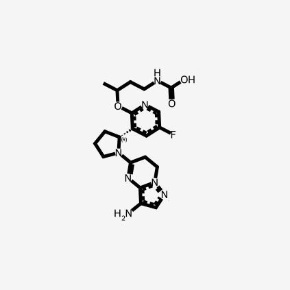 CC(CCNC(=O)O)Oc1ncc(F)cc1[C@H]1CCCN1C1=Nc2c(N)cnn2CC1